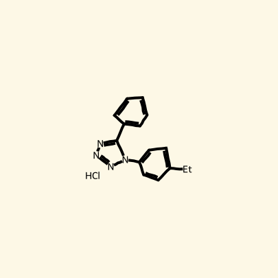 CCc1ccc(-n2nnnc2-c2ccccc2)cc1.Cl